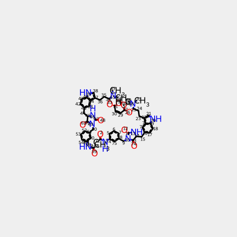 CC(=O)Nc1cccc(CN2C(=O)NC(Cc3ccc4[nH]cc(CCC(OC(=O)/C=C\C(=O)OC(CCc5c[nH]c6ccc(CC7NC(=O)N(Cc8cccc(NC(C)=O)c8)C7=O)cc56)N(C)C)N(C)C)c4c3)C2=O)c1